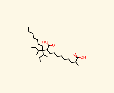 CCCCCCCC(C(C)CC)(C(C)CC)C(CCCCCCCC(C)C(=O)O)C(=O)O